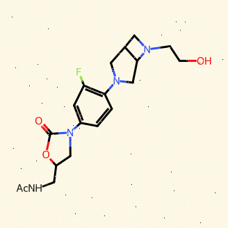 CC(=O)NCC1CN(c2ccc(N3CC4CN(CCO)C4C3)c(F)c2)C(=O)O1